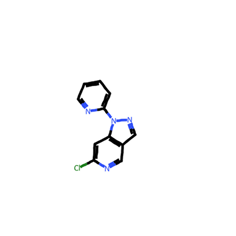 Clc1cc2c(cn1)cnn2-c1ccccn1